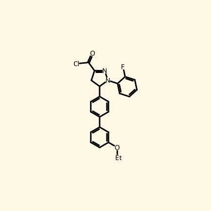 CCOc1cccc(-c2ccc(C3CC(C(=O)Cl)=NN3c3ccccc3F)cc2)c1